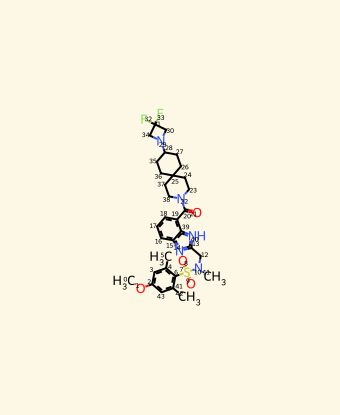 COc1cc(C)c(S(=O)(=O)N(C)Cc2nc3cccc(C(=O)N4CCC5(CCC(N6CC(F)(F)C6)CC5)CC4)c3[nH]2)c(C)c1